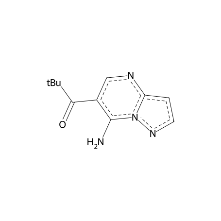 CC(C)(C)C(=O)c1cnc2ccnn2c1N